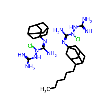 CCCCCCC1C2CC3CC1CC(N=C(N)N(Cl)NC(=N)N)(C3)C2.N=C(N)NN(Cl)C(N)=NC12CC3CC(CC(C3)C1)C2